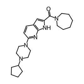 O=C(c1cc2ccc(N3CCN(C4CCCC4)CC3)nc2[nH]1)N1CCCCCC1